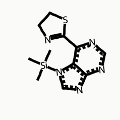 C[Si](C)(C)n1cnc2ncnc(C3=NCCS3)c21